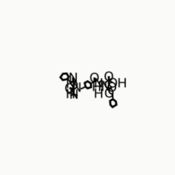 CN(C)C(=O)N(Cc1ccc(C(=O)NC[C@H](NC(=O)OCc2ccccc2)C(=O)O)cc1)Cc1nc2ccccc2[nH]1